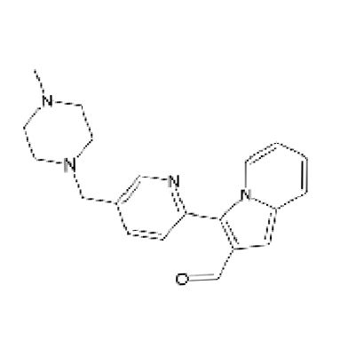 CN1CCN(Cc2ccc(-c3c(C=O)cc4ccccn34)nc2)CC1